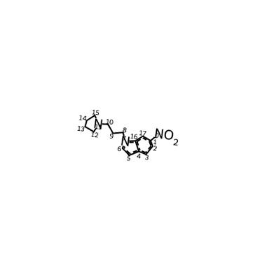 O=[N+]([O-])c1ccc2ccn(CCCN3CCCC3)c2c1